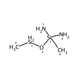 C[SiH2]O[Si](C)(N)N